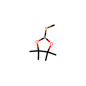 CSB1OC(C)(C)C(C)(C)O1